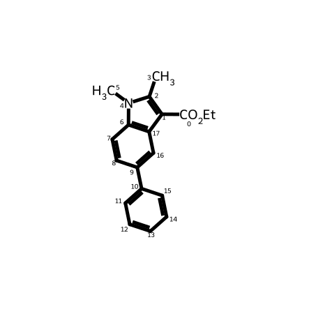 CCOC(=O)c1c(C)n(C)c2ccc(-c3ccccc3)cc12